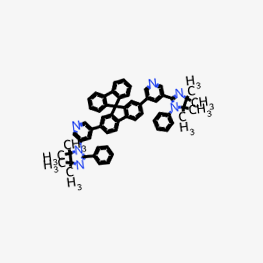 CC1(C)N=C(c2cncc(-c3ccc4c(c3)C3(c5ccccc5-c5ccccc53)c3cc(-c5cncc(N6C(c7ccccc7)=NC(C)(C)C6(C)C)c5)ccc3-4)c2)N(c2ccccc2)C1(C)C